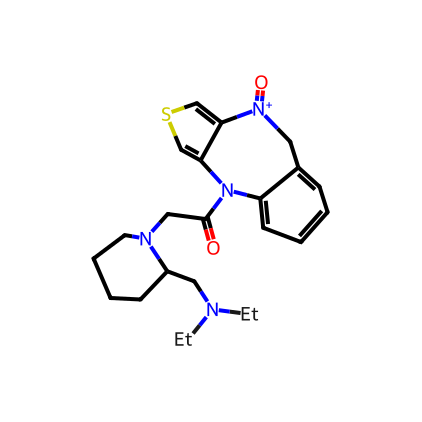 CCN(CC)CC1CCCCN1CC(=O)N1c2ccccc2C[N+](=O)c2cscc21